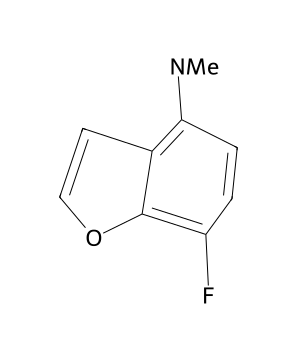 CNc1ccc(F)c2occc12